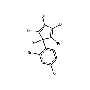 BrC1=C(Br)C(Br)(c2ccc(Br)cc2Br)C(Br)=C1Br